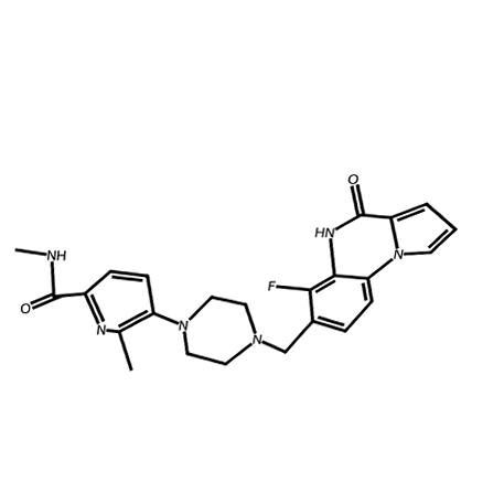 CNC(=O)c1ccc(N2CCN(Cc3ccc4c([nH]c(=O)c5cccn54)c3F)CC2)c(C)n1